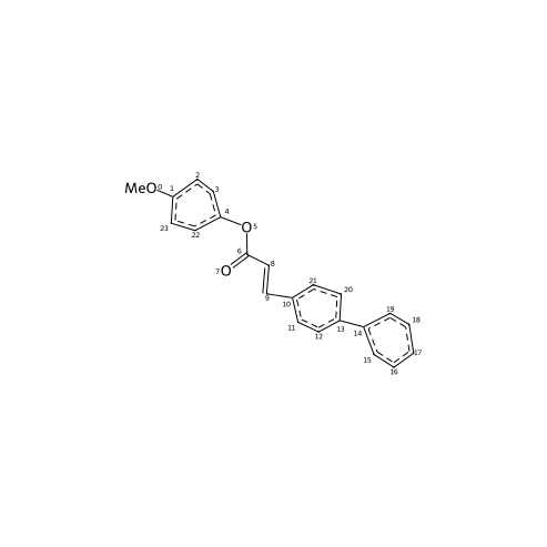 COc1ccc(OC(=O)/C=C/c2ccc(-c3ccccc3)cc2)cc1